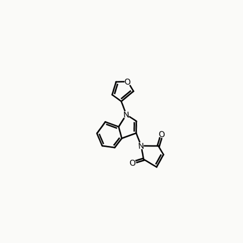 O=C1C=CC(=O)N1c1cn(-c2ccoc2)c2ccccc12